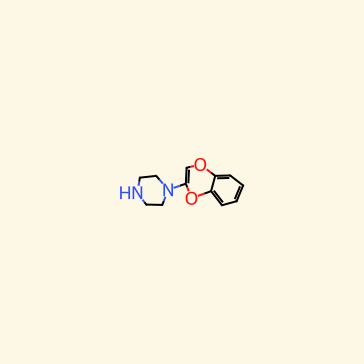 C1=C(N2CCNCC2)Oc2ccccc2O1